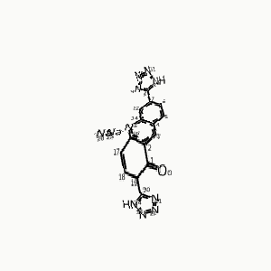 O=C1c2cc3ccc(-c4nnn[nH]4)cc3nc2C=CC1c1nnn[nH]1.[Na].[Na]